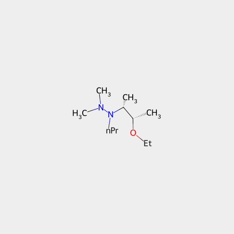 CCCN([C@H](C)[C@H](C)OCC)N(C)C